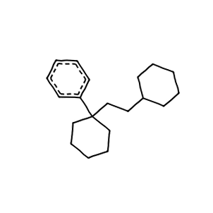 c1ccc(C2(CCC3CCCCC3)CCCCC2)cc1